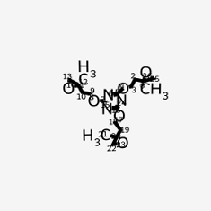 CC1(CCOc2nc(OCCC3(C)CO3)nc(OCCC3(C)CO3)n2)CO1